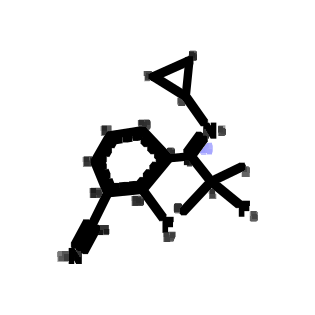 CC(C)(F)/C(=N/C1CC1)c1cccc(C#N)c1F